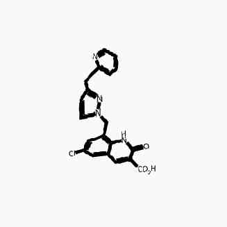 O=C(O)c1cc2cc(Cl)cc(Cn3ccc(Cc4ccccn4)n3)c2[nH]c1=O